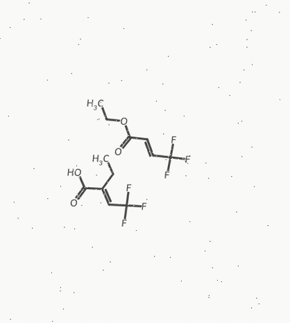 CC/C(=C\C(F)(F)F)C(=O)O.CCOC(=O)/C=C/C(F)(F)F